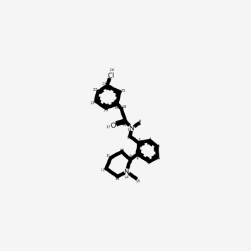 CN(Cc1ccccc1C1CCCCN1C)C(=O)Cc1cccc(Cl)c1